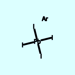 [Ar].[I][Pb]([I])([I])[I]